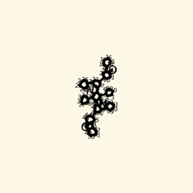 c1ccc(-c2c3c4cc(-c5ccc6oc7ccccc7c6c5)cc5c6ccccc6n(c3c(-c3ccccc3)c3c6cc(-c7ccc8oc9ccccc9c8c7)cc7c8ccccc8n(c23)c76)c54)cc1